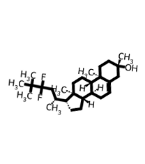 C[C@H](CC(F)(F)C(C)(C)C)[C@H]1CC[C@H]2[C@@H]3CC=C4C[C@@](C)(O)CC[C@]4(C)[C@H]3CC[C@]12C